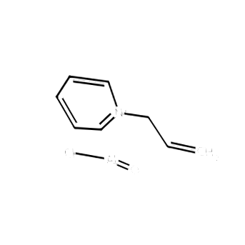 C=CC[n+]1ccccc1.[O]=[Al][Cl]